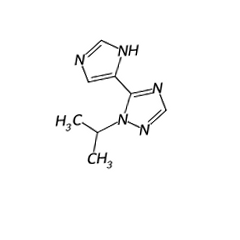 CC(C)n1ncnc1-c1cnc[nH]1